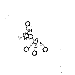 c1ccc(CNc2nc(C3CC3)nc3cc([C@@H]4O[C@H](COCc5ccccc5)[C@@H](OCc5ccccc5)[C@H]4OCc4ccccc4)ccc23)cc1